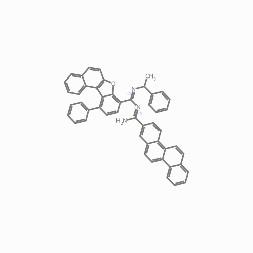 CC(/N=C(\N=C(/N)c1ccc2c(ccc3c4ccccc4ccc23)c1)c1ccc(-c2ccccc2)c2c1oc1ccc3ccccc3c12)c1ccccc1